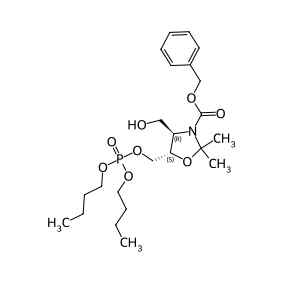 CCCCOP(=O)(OCCCC)OC[C@H]1OC(C)(C)N(C(=O)OCc2ccccc2)[C@@H]1CO